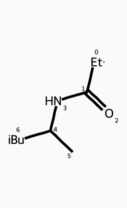 C[CH]C(=O)NC(C)C(C)CC